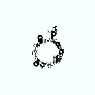 CC(C)C[C@H]1C(=O)N[C@@H](C2CCCCC2)C(=O)N(C)CC(=O)N(C)CC(=O)N(C)[C@@H](CC2CCCCC2)C(=O)N(C)CC(=O)N[C@@H](CCc2ccc(C(F)(F)F)c(Cl)c2)C(=O)N2CCC[C@H]2C(=O)NC2(CCCC2)C(=O)N(C)[C@@H](C(C)C)C(=O)N[C@H](C)CC(=O)N1C